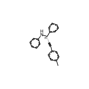 Cc1ccc(C#C[C@H](Nc2ccccc2)c2ccccc2)cc1